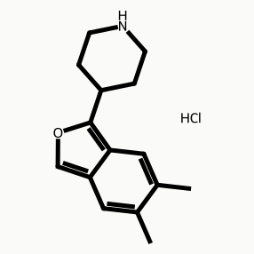 Cc1cc2coc(C3CCNCC3)c2cc1C.Cl